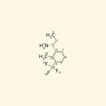 CC[C@@H](N)c1cccc(C(F)(F)F)c1C